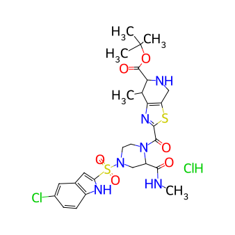 CNC(=O)C1CN(S(=O)(=O)c2cc3cc(Cl)ccc3[nH]2)CCN1C(=O)c1nc2c(s1)CNC(C(=O)OC(C)(C)C)C2C.Cl